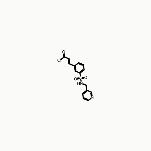 O=C(Cl)/C=C/c1cccc(S(=O)(=O)NCc2cccnc2)c1